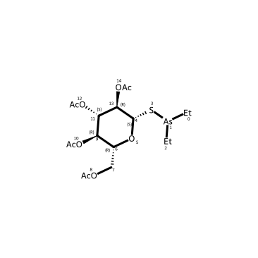 CC[As](CC)S[C@@H]1O[C@H](COC(C)=O)[C@@H](OC(C)=O)[C@H](OC(C)=O)[C@H]1OC(C)=O